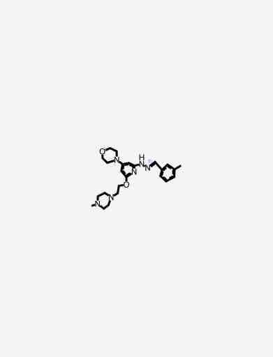 Cc1cccc(/C=N/Nc2cc(N3CCOCC3)cc(OCCN3CCN(C)CC3)n2)c1